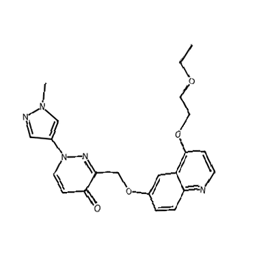 CCOCCOc1ccnc2ccc(OCc3nn(-c4cnn(C)c4)ccc3=O)cc12